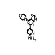 Nc1ccc(-c2nc(N3CCOCC3)c3scnc3n2)cn1